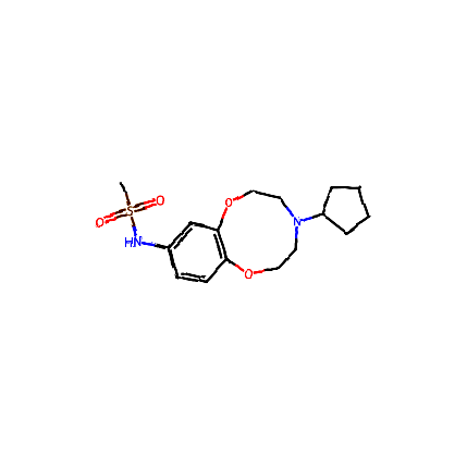 CS(=O)(=O)Nc1ccc2c(c1)OCCN(C1CCCC1)CCO2